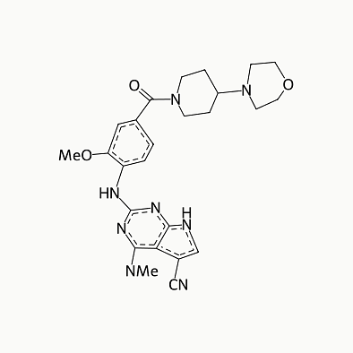 CNc1nc(Nc2ccc(C(=O)N3CCC(N4CCOCC4)CC3)cc2OC)nc2[nH]cc(C#N)c12